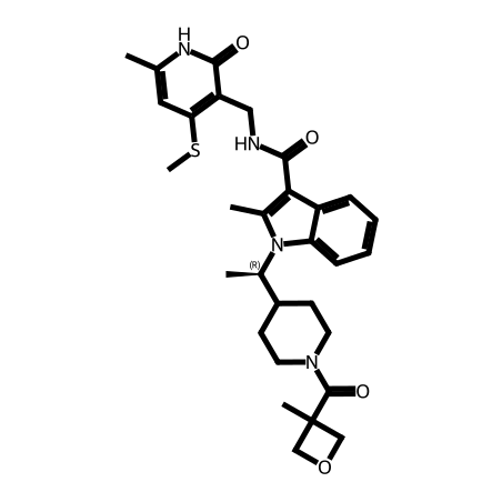 CSc1cc(C)[nH]c(=O)c1CNC(=O)c1c(C)n([C@H](C)C2CCN(C(=O)C3(C)COC3)CC2)c2ccccc12